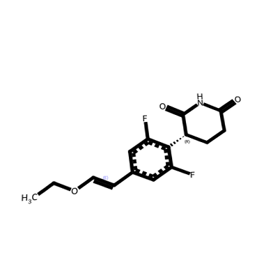 CCO/C=C/c1cc(F)c([C@H]2CCC(=O)NC2=O)c(F)c1